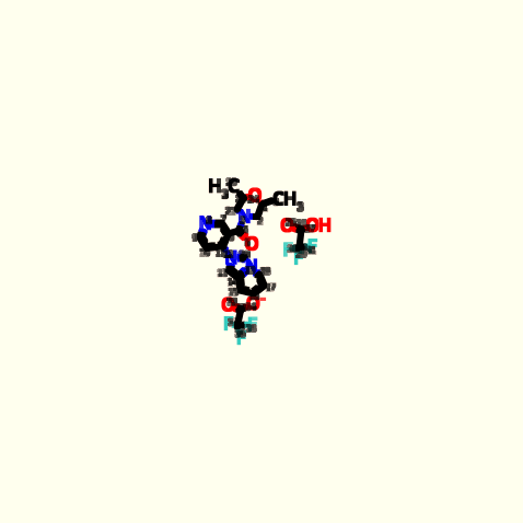 CC1CN(C(=O)c2cnccc2-[n+]2cc3ccccn3c2)CC(C)O1.O=C(O)C(F)(F)F.O=C([O-])C(F)(F)F